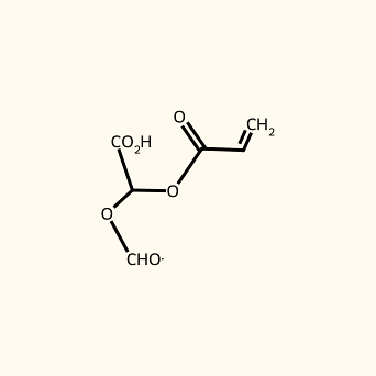 C=CC(=O)OC(O[C]=O)C(=O)O